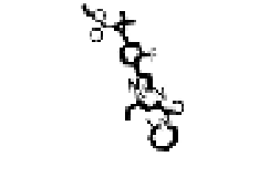 CCOC(=O)[C@@H]1C(c2ccc(-c3cc4nc(C(=O)N5CCCCC[C@H]5C)cc(CC)n4n3)c(F)c2)C1(C)C